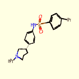 CCCN1CC[C@@H](c2ccc(NS(=O)(=O)c3ccc(C(C)C)cc3)cc2)C1